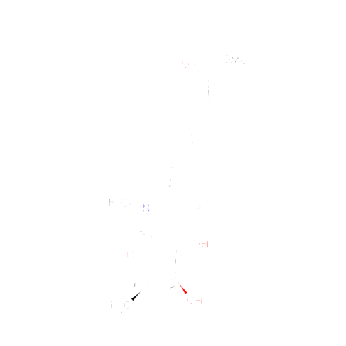 COC(=O)CCCSC(=S)N(C)[C@H]1O[C@H](C)[C@H](O)[C@H]1O